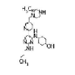 CCCCNc1ncc(-c2ccc(CN3CCNC[C@@H]3C)cn2)c(NC2CCC(O)CC2)n1